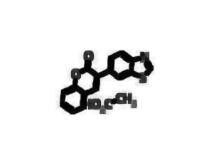 CC(=O)O.O=c1oc2ccccc2cc1-c1ccc2ncsc2c1